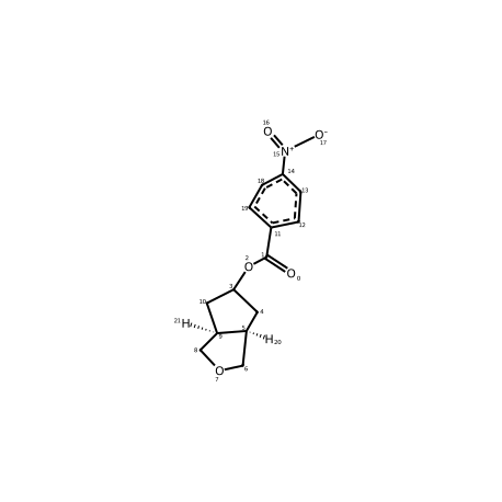 O=C(OC1C[C@H]2COC[C@H]2C1)c1ccc([N+](=O)[O-])cc1